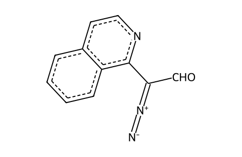 [N-]=[N+]=C(C=O)c1nccc2ccccc12